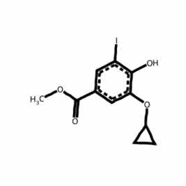 COC(=O)c1cc(I)c(O)c(OC2CC2)c1